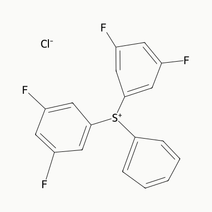 Fc1cc(F)cc([S+](c2ccccc2)c2cc(F)cc(F)c2)c1.[Cl-]